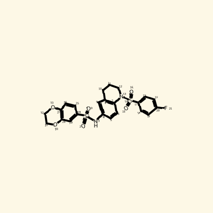 O=S(=O)(Nc1ccc2c(c1)CCCN2S(=O)(=O)c1ccc(F)cc1)c1ccc2c(c1)OCCO2